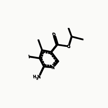 Cc1c(C(=O)OC(C)C)cnc(N)c1I